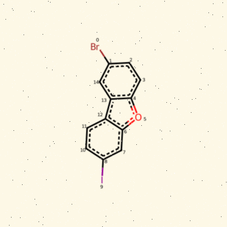 Brc1ccc2oc3cc(I)ccc3c2c1